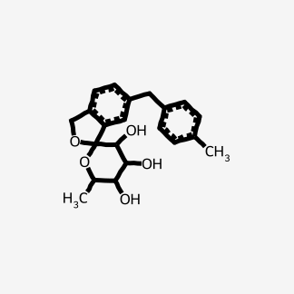 Cc1ccc(Cc2ccc3c(c2)C2(OC3)OC(C)C(O)C(O)C2O)cc1